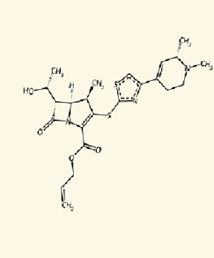 C=CCOC(=O)C1=C(Sc2nc(C3=C[C@H](C)N(C)CC3)cs2)[C@H](C)[C@@H]2[C@@H]([C@@H](C)O)C(=O)N12